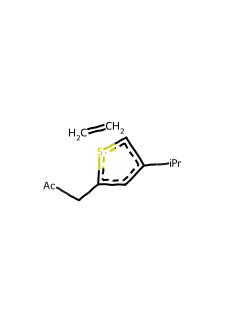 C=C.CC(=O)Cc1cc(C(C)C)cs1